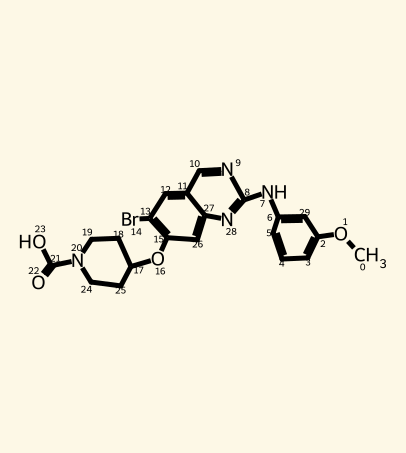 COc1cccc(Nc2ncc3cc(Br)c(OC4CCN(C(=O)O)CC4)cc3n2)c1